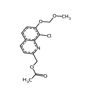 COCOc1ccc2ccc(COC(C)=O)nc2c1Cl